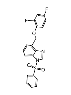 O=S(=O)(c1ccccc1)n1cnc2c(COc3ccc(F)cc3F)cccc21